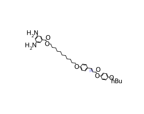 CCCCOc1ccc(OC(=O)/C=C/c2ccc(OCCCCCCCCCCCOC(=O)c3cc(N)cc(N)c3)cc2)cc1